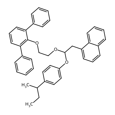 CCC(C)c1ccc(OC(Cc2cccc3ccccc23)OCCOc2c(-c3ccccc3)cccc2-c2ccccc2)cc1